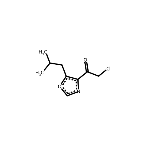 CC(C)Cc1ocnc1C(=O)CCl